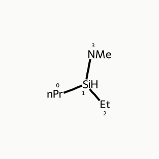 CCC[SiH](CC)NC